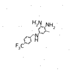 Cc1cc(NCc2ccc(C(F)(F)F)cc2)cc(N)c1N